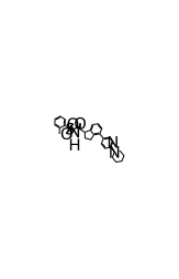 Cc1ccccc1S(=O)(=O)NC(=O)C1CCc2c(-c3ccc(N4CCCCC4)nc3)cccc21